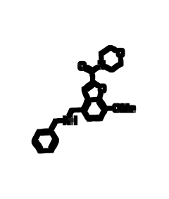 COc1ccc(CNCc2ccccc2)c2cc(C(=O)N3CCOCC3)oc12